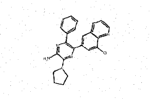 Nc1nc(-c2ccccc2)c(-c2cc(Cl)c3ncccc3c2)nc1N1CCCC1